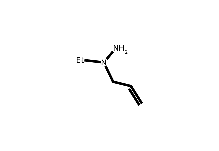 C=CCN(N)CC